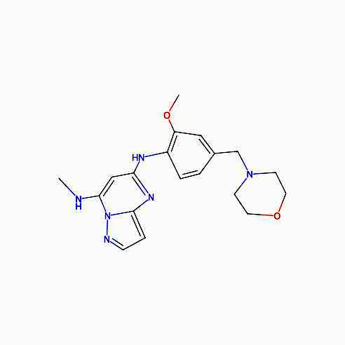 CNc1cc(Nc2ccc(CN3CCOCC3)cc2OC)nc2ccnn12